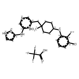 O=C(O)C(F)(F)F.O=C(O)C1(Cc2cncc(Nc3cc[nH]n3)n2)CCC(Oc2cccc(Cl)c2F)CC1